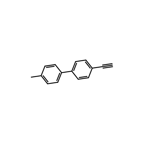 C#Cc1ccc(-c2ccc(C)cc2)cc1